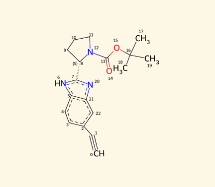 C#Cc1ccc2[nH]c([C@@H]3CCCN3C(=O)OC(C)(C)C)nc2c1